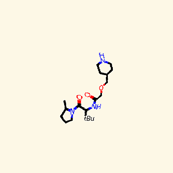 CC1CCCN1C(=O)C(NC(=O)COCC1CCNCC1)C(C)(C)C